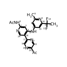 CC(=O)Nc1cc(Nc2cc(C)nc(C(C)(F)F)c2)c(-c2cnc(C(C)=O)cn2)cn1